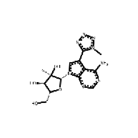 Cn1nnnc1-c1cn([C@@H]2O[C@H](CO)[C@@H](O)[C@@]2(C)O)c2ncnc(N)c12